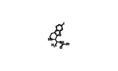 CC(C)C(=O)NC(C)C1NCCc2c1oc1cc(I)ccc21